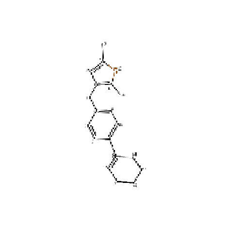 Cc1cc(Cc2ccc(C3=CCCCC3)cc2)c(C)s1